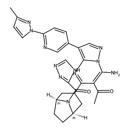 CC(=O)c1c(C2C[C@H]3CC[C@@H](C2)N3C(=O)c2nnc[nH]2)nc2c(-c3ccc(-n4ccc(C)n4)nc3)cnn2c1N